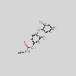 CCCNC(=O)Nc1ccc(Oc2ccc(Cl)cc2Cl)c(Cl)c1